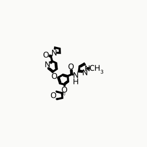 Cn1ccc(NC(=O)c2cc(Oc3ccc(C(=O)N4CCC4)nc3)cc(O[C@@H]3CCOC3)c2)n1